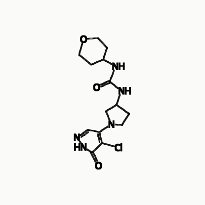 O=C(NC1CCOCC1)NC1CCN(c2cn[nH]c(=O)c2Cl)C1